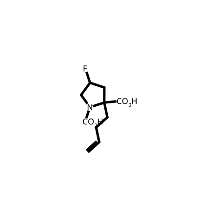 C=CCCC1(C(=O)O)CC(F)CN1C(=O)O